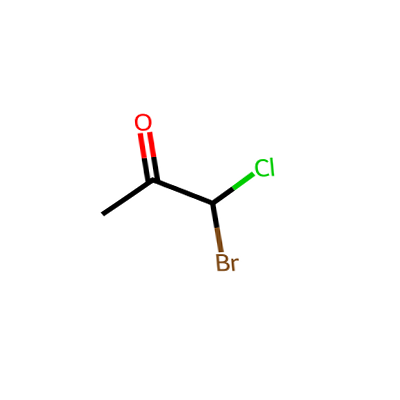 CC(=O)C(Cl)Br